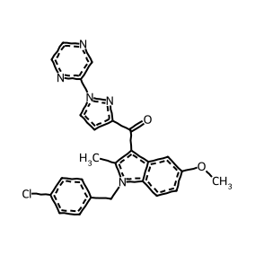 COc1ccc2c(c1)c(C(=O)c1ccn(-c3cnccn3)n1)c(C)n2Cc1ccc(Cl)cc1